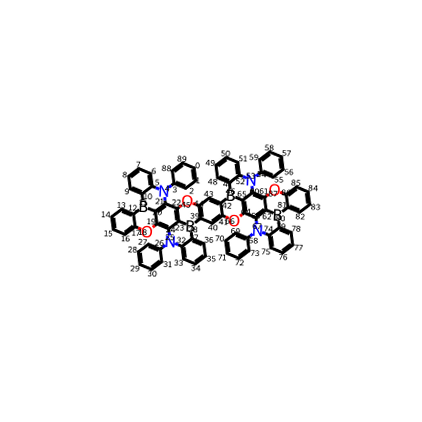 c1ccc(N2c3ccccc3B3c4ccccc4Oc4c3c2c2c3c4N(c4ccccc4)c4ccccc4B3c3cc4c(cc3O2)B2c3ccccc3N(c3ccccc3)c3c5c6c(c(c32)O4)N(c2ccccc2)c2ccccc2B6c2ccccc2O5)cc1